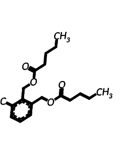 CCCCC(=O)OCc1cccc(C)c1COC(=O)CCCC